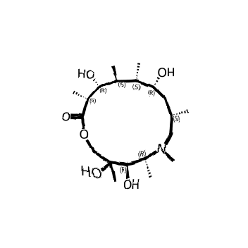 C[C@H]1C[C@@H](O)[C@@H](C)[C@H](C)[C@@H](O)[C@@H](C)C(=O)OCC(C)(O)[C@H](O)[C@@H](C)N(C)C1